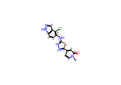 Cn1ccc(-c2nnc(Nc3ccc4[nH]ncc4c3Cl)s2)cc1=O